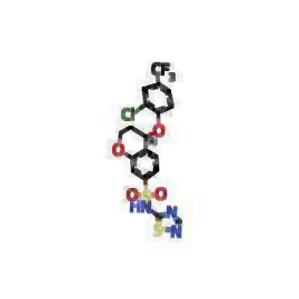 O=S(=O)(Nc1ncns1)c1ccc2c(c1)OCC[C@H]2Oc1ccc(C(F)(F)F)cc1Cl